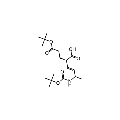 CC(C=C[C@@H](CCC(=O)OC(C)(C)C)C(=O)O)NC(=O)OC(C)(C)C